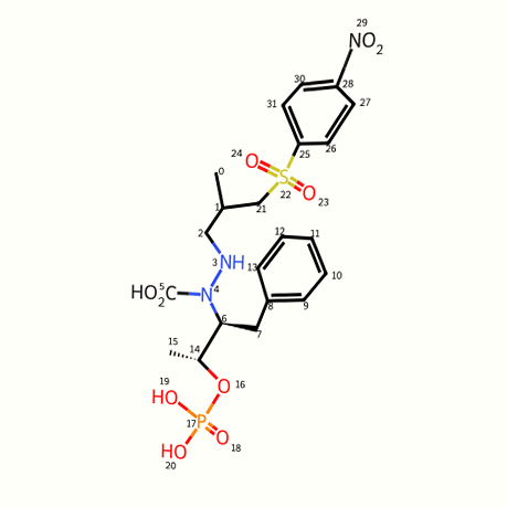 CC(CNN(C(=O)O)[C@@H](Cc1ccccc1)[C@@H](C)OP(=O)(O)O)CS(=O)(=O)c1ccc([N+](=O)[O-])cc1